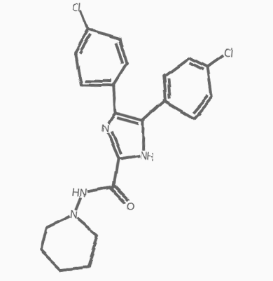 O=C(NN1CCCCC1)c1nc(-c2ccc(Cl)cc2)c(-c2ccc(Cl)cc2)[nH]1